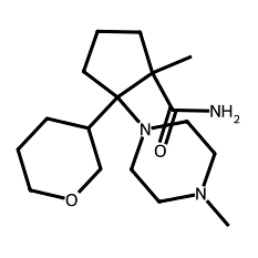 CN1CCN(C2(C3CCCOC3)CCCC2(C)C(N)=O)CC1